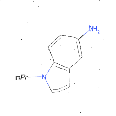 CCCn1ccc2cc(N)ccc21